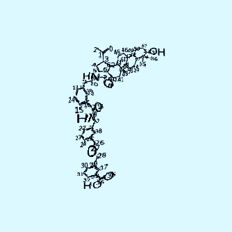 C=C(C)[C@@H]1CC[C@]2(C(=O)NCCc3cccc(C(=O)NCc4cccc(COCc5cccc(C(=O)O)c5)c4)c3)CC[C@]3(C)C(CCC4[C@@]5(C)CC[C@H](O)C(C)(C)C5CC[C@]43C)C12